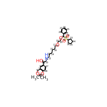 CC1(C)OCc2cc([C@@H](O)CNCCCCCCOCCOC(c3ccccc3)S(=O)(=O)C3CCCC3)ccc2O1